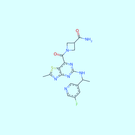 Cc1nc2nc(NC(C)c3cncc(F)c3)nc(C(=O)N3CC(C(N)=O)C3)c2s1